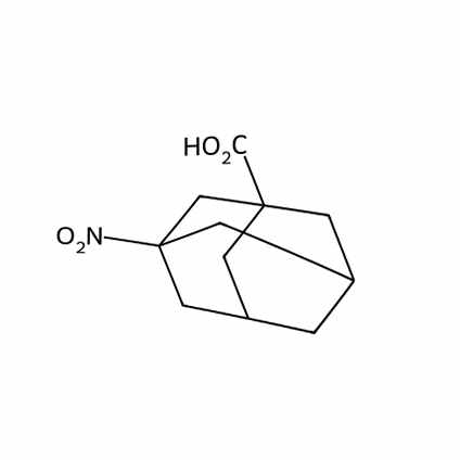 O=C(O)C12CC3CC(C1)CC([N+](=O)[O-])(C3)C2